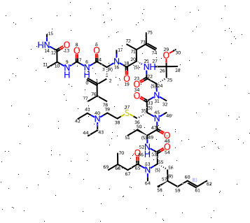 C=C(C[C@H](C(=O)NC(=O)NC(C)C(=O)NC)N(C)C(=O)[C@@H](NC(=O)[C@H](CC(C)(C)OC)N(C)C(=O)[C@@H](CSCCN(CC)CC)N(C)C(=O)[C@H](CC)NC(=O)[C@H](C[C@H](C)C/C=C/C)N(C)C(=O)CC(C)C)C(C)C(=C)C)C(C)C